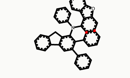 c1ccc(-c2cc3c(c(N(c4ccccc4)c4cccc5oc6ccccc6c45)c2-c2ccccc2)Cc2ccccc2-3)cc1